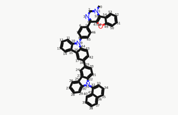 CN1CN=C(c2ccc(-n3c4ccccc4c4cc(-c5ccc6c(c5)c5ccccc5n6-c5cccc6ccccc56)ccc43)cc2)c2oc3ccccc3c21